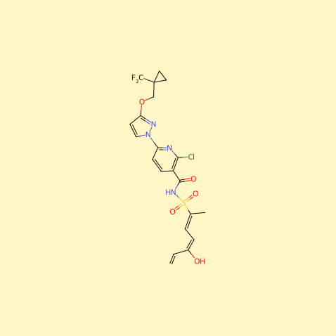 C=C/C(O)=C\C=C(/C)S(=O)(=O)NC(=O)c1ccc(-n2ccc(OCC3(C(F)(F)F)CC3)n2)nc1Cl